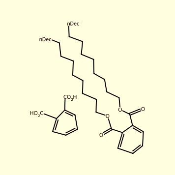 CCCCCCCCCCCCCCCCCCOC(=O)c1ccccc1C(=O)OCCCCCCCCCCCCCCCCCC.O=C(O)c1ccccc1C(=O)O